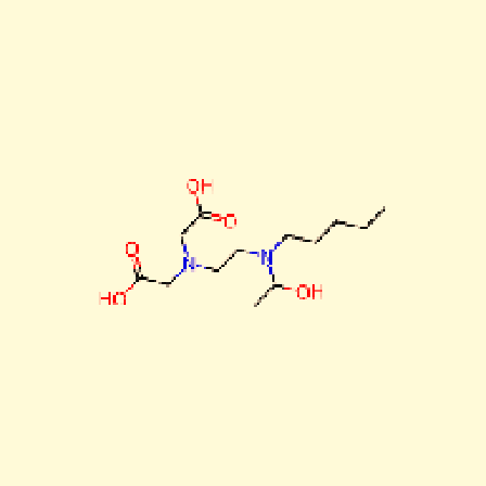 CCCCCN(CCN(CC(=O)O)CC(=O)O)C(C)O